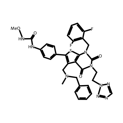 CONC(=O)Nc1ccc(-c2sc3c(c2CN(C)Cc2ccccc2)c(=O)n(CCn2ncnn2)c(=O)n3Cc2c(F)cccc2F)cc1